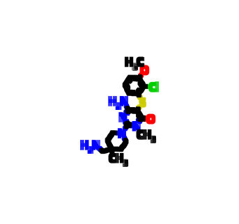 COc1cccc(Sc2c(N)nc(N3CCC(C)(CN)CC3)n(C)c2=O)c1Cl